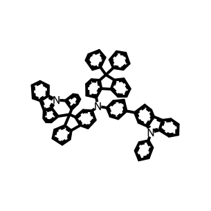 c1ccc(-n2c3ccccc3c3ccc(-c4ccc(N(c5ccc6c(c5)C5(c7ccccc7-6)c6ccccc6-n6c7ccccc7c7cccc5c76)c5cccc6c5-c5ccccc5C6(c5ccccc5)c5ccccc5)cc4)cc32)cc1